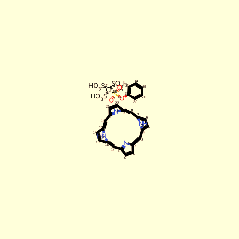 C1=Cc2cc3ccc(cc4nc(cc5ccc(cc1n2)[nH]5)C=C4)[nH]3.O=[S](=O)(O)[Cr]([S](=O)(=O)O)([S](=O)(=O)O)[S](=O)(=O)Oc1ccccc1